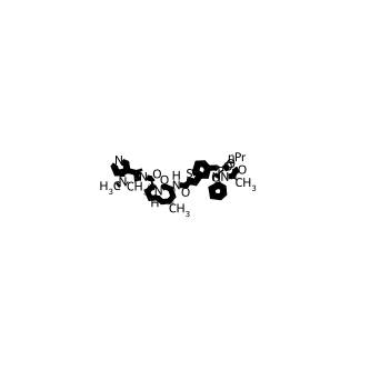 CCCOC(=O)[C@H](C)NP(=O)(Cc1ccc2sc(C(=O)N[C@H]3C[C@@H](C)C[C@H]4CC[C@@H](C(=O)N5CC(c6cnccc6N(C)C)C5)N4C3=O)cc2c1)Oc1ccccc1